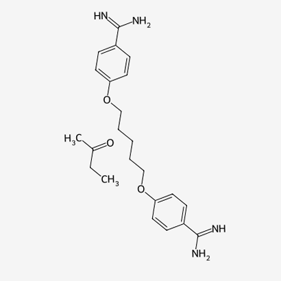 CCC(C)=O.N=C(N)c1ccc(OCCCCCOc2ccc(C(=N)N)cc2)cc1